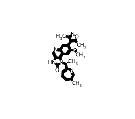 COc1cc2c(cc1-c1c(C)noc1C)ncc1[nH]c(=O)n([C@H](C)C3=CC=CC(C)C=N3)c12